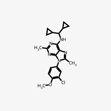 COc1ccc(-n2c(C)nc3c(NC(C4CC4)C4CC4)nc(C)nc32)cc1Cl